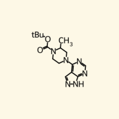 CC1CN(c2ncnc3[nH]ncc23)CCN1C(=O)OC(C)(C)C